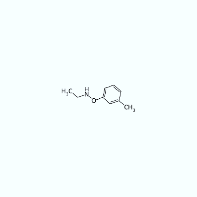 CCNOc1cccc(C)c1